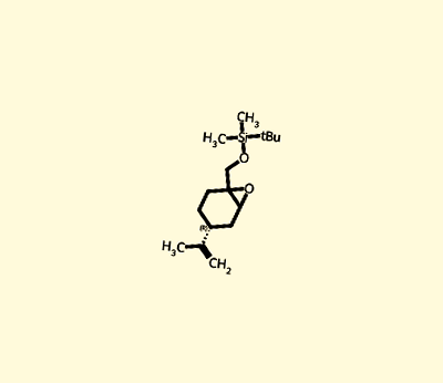 C=C(C)[C@@H]1CCC2(CO[Si](C)(C)C(C)(C)C)OC2C1